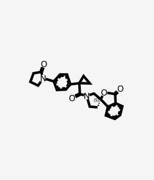 O=C1O[C@@]2(CCN(C(=O)C3(c4ccc(N5CCCC5=O)cc4)CC3)C2)c2ccccc21